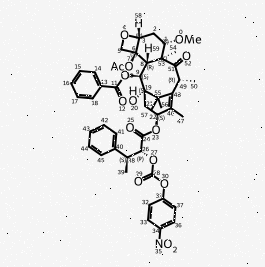 CO[C@H]1C[C@H]2OC[C@@]2(OC(C)=O)[C@H]2[C@H](OC(=O)c3ccccc3)[C@]3(O)C[C@H](OC(=O)[C@H](OC(=O)Oc4ccc([N+](=O)[O-])cc4)[C@@H](C)c4ccccc4)C(C)=C([C@@H](C)C(=O)[C@]12C)C3(C)C